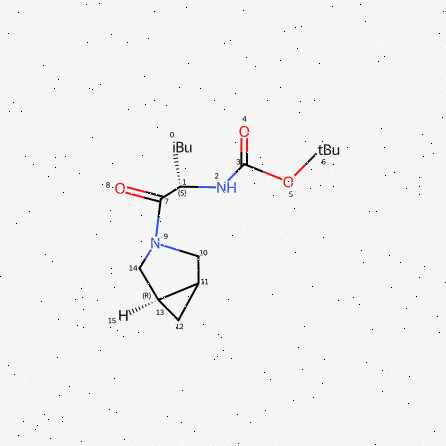 CCC(C)[C@H](NC(=O)OC(C)(C)C)C(=O)N1CC2C[C@H]2C1